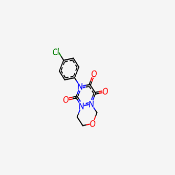 O=c1c(=O)n2n(c(=O)n1-c1ccc(Cl)cc1)CCOC2